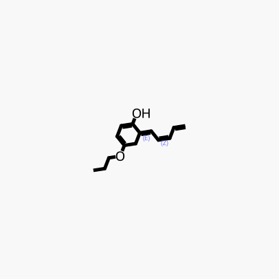 C=C/C=C\C=C1/CC(OCCC)=CC=C1O